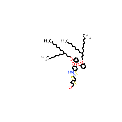 CCCCCCCCC(CCCCCCCC)CCCOc1ccccc1Oc1cc2c(cc1Oc1ccccc1OCCCC(CCCCCCCC)CCCCCCCC)SN(c1cc3sc(C=O)cc3s1)N2